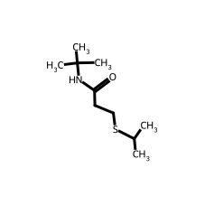 CC(C)SCCC(=O)NC(C)(C)C